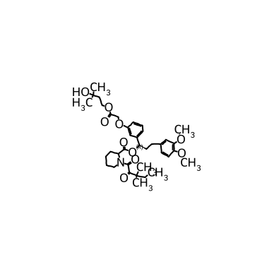 CCC(C)(C)C(=O)C(=O)N1CCCCC1C(=O)O[C@H](CCc1ccc(OC)c(OC)c1)c1cccc(OCC(=O)OCCC(C)(C)O)c1